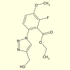 CCOC(=O)c1c(-n2cc(CO)nn2)ccc(OC)c1F